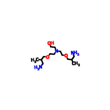 CC(CN)COCCN(CCO)CCOCC(C)CN